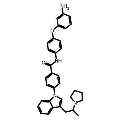 CC(Cc1cn(-c2ccc(C(=O)Nc3ccc(Oc4cccc(N)c4)cc3)cc2)c2ccccc12)N1CCCC1